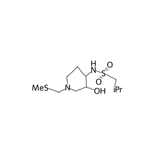 CSCN1CCC(NS(=O)(=O)CC(C)C)C(O)C1